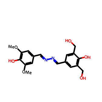 COc1cc(C=NN=Cc2cc(CO)c(O)c(CO)c2)cc(OC)c1O